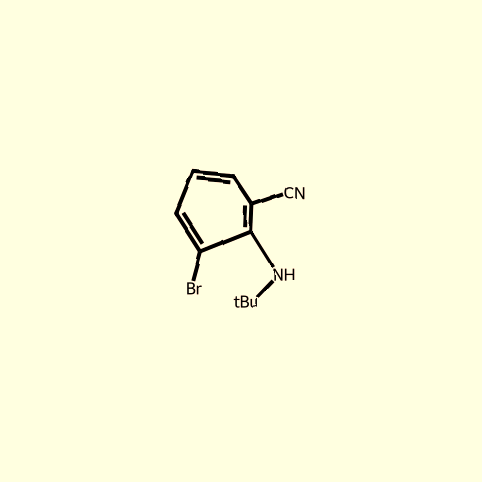 CC(C)(C)Nc1c(Br)cccc1C#N